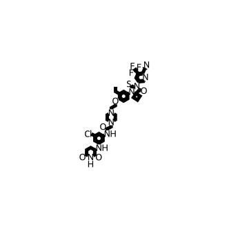 CCc1cc(N2C(=S)N(c3cnc(C#N)c(C(F)(F)F)c3)C(=O)C23CCC3)ccc1OCCN1CCN(CC(=O)Nc2cc(Cl)cc(NC3CCC(=O)NC3=O)c2)CC1